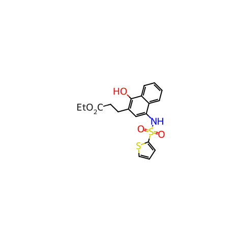 CCOC(=O)CCc1cc(NS(=O)(=O)c2cccs2)c2ccccc2c1O